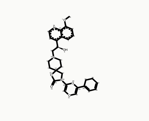 COc1cccc2c([C@@H](O)CN3CCC4(CC3)CN(C3=COC=C(C5=CC=CCC5)O3)C(=O)O4)ccnc12